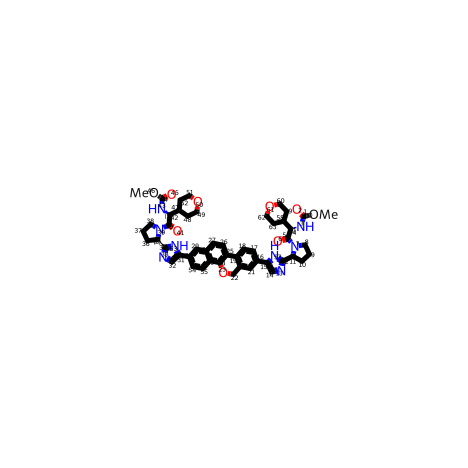 COC(=O)N[C@H](C(=O)N1CCCC1c1ncc(-c2ccc3c(c2)COc2c-3ccc3cc(-c4cnc([C@@H]5CCCN5C(=O)[C@@H](NC(=O)OC)C5CCOCC5)[nH]4)ccc23)[nH]1)C1CCOCC1